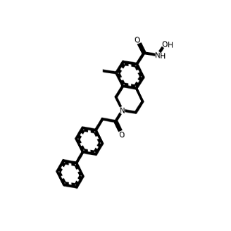 Cc1cc(C(=O)NO)cc2c1CN(C(=O)Cc1ccc(-c3ccccc3)cc1)CC2